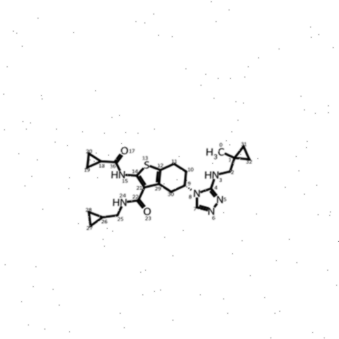 CC1(CNc2nncn2[C@H]2CCc3sc(NC(=O)C4CC4)c(C(=O)NCC4CC4)c3C2)CC1